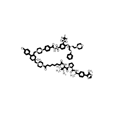 Cc1ncsc1-c1ccc([C@H](C)NC(=O)[C@@H]2CCCN2C(=O)C(NC(=O)CCCCCCC(=O)N2CCN(C[C@@]3(C)CCC(c4ccc(Cl)cc4)=C(CN4CCN(c5ccc(C(=O)NS(=O)(=O)c6ccc(N[C@H](CCN7CCOCC7)CSc7ccccc7)c(S(=O)(=O)C(F)(F)F)c6)cc5)CC4)C3)CC2)C(C)(C)C)cc1